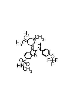 CNS(=O)(=O)c1ccc2c(c1)nc(Nc1ccc(OC(F)(F)F)cc1)n2[C@@H]1C[C@H](C)CC(C)(C)C1